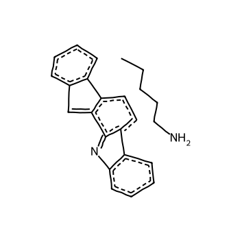 C1=c2c(ccc3c2=Nc2ccccc2-3)-c2ccccc21.CCCCCN